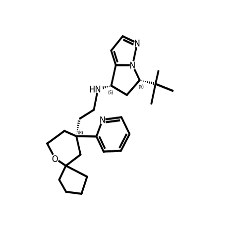 CC(C)(C)[C@@H]1C[C@H](NCC[C@@]2(c3ccccn3)CCOC3(CCCC3)C2)c2ccnn21